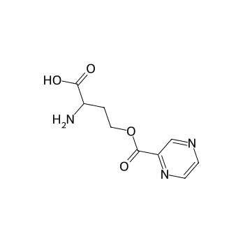 NC(CCOC(=O)c1cnccn1)C(=O)O